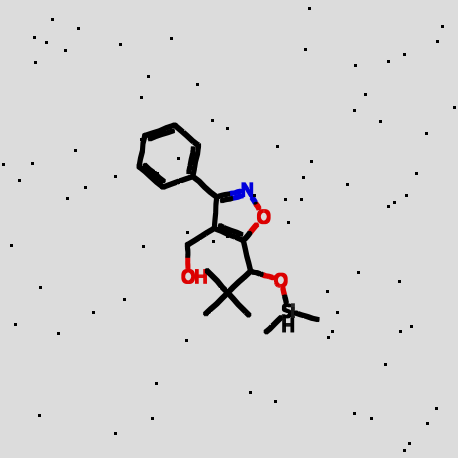 C[SiH](C)OC(c1onc(-c2ccccc2)c1CO)C(C)(C)C